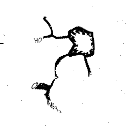 CC(O)c1cccc(F)c1COC(N)=O